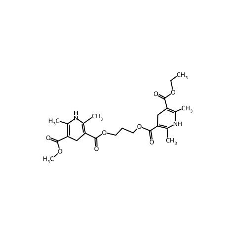 CCOC(=O)C1=C(C)NC(C)=C(C(=O)OCCCOC(=O)C2=C(C)NC(C)=C(C(=O)OC)C2)C1